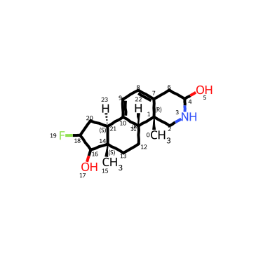 C[C@]12CNC(O)CC1=CC=C1[C@H]2CC[C@]2(C)C(O)C(F)C[C@@H]12